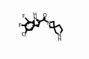 O=C(c1cc2cc(Cl)c(F)c(F)c2[nH]1)N1CC2(CCNC2)C1